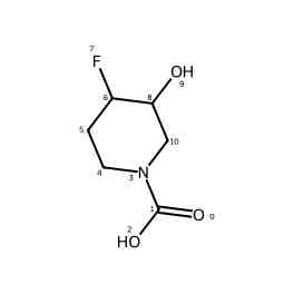 O=C(O)N1CCC(F)C(O)C1